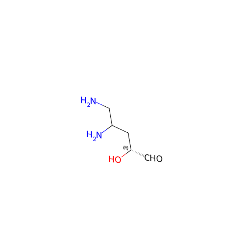 NCC(N)C[C@@H](O)C=O